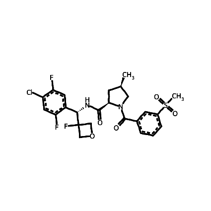 C[C@@H]1C[C@H](C(=O)N[C@@H](c2cc(F)c(Cl)cc2F)C2(F)COC2)N(C(=O)c2cccc(S(C)(=O)=O)c2)C1